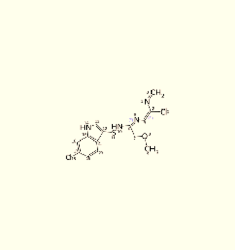 C=N/C(Cl)=C\N=C(/COC)NSc1c[nH]c2cc(Cl)ccc12